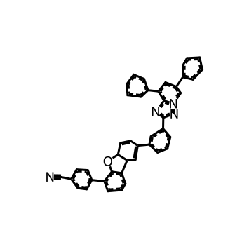 N#Cc1ccc(-c2cccc3c2OC2C=CC(c4cccc(-c5nc6c(-c7ccccc7)cc(-c7ccccc7)cn6n5)c4)=CC32)cc1